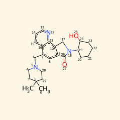 CC1(C)CCN(Cc2cc3c(c4ncccc24)CN(C2CCCCC2O)C3=O)CC1